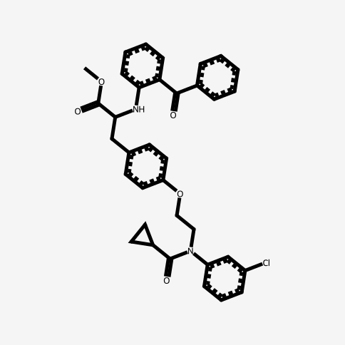 COC(=O)C(Cc1ccc(OCCN(C(=O)C2CC2)c2cccc(Cl)c2)cc1)Nc1ccccc1C(=O)c1ccccc1